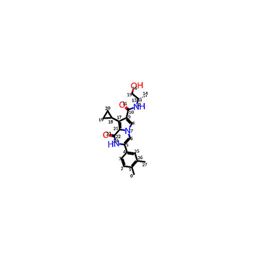 Cc1ccc(-c2cn3cc(C(=O)N[C@@H](C)CO)c(C4CC4)c3c(=O)[nH]2)cc1C